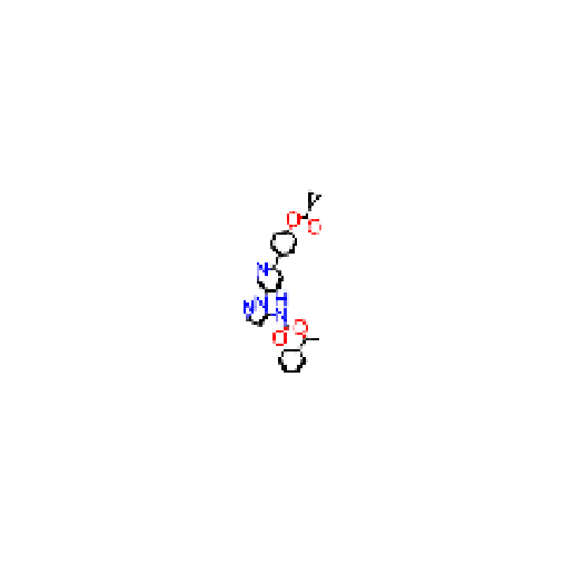 CC(OC(=O)Nc1ccnn1-c1ccc(-c2ccc(OC(=O)C3CC3)cc2)nc1)c1ccccc1